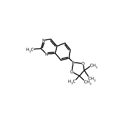 Cc1ncc2ccc(B3OC(C)(C)C(C)(C)O3)cc2n1